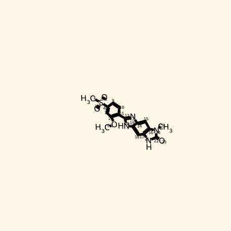 COc1cc(S(C)(=O)=O)ccc1-c1nc2cc3c(cc2[nH]1)[nH]c(=O)n3C